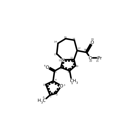 Cc1coc(C(=O)c2c(C)cc3n2CCCCC3C(=O)OC(C)C)c1